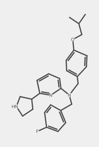 CC(C)COc1ccc(CN(Cc2ccc(F)cc2)c2cccc(C3CCNC3)n2)cc1